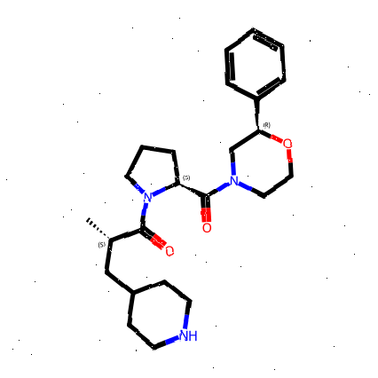 C[C@@H](CC1CCNCC1)C(=O)N1CCC[C@H]1C(=O)N1CCO[C@H](c2ccccc2)C1